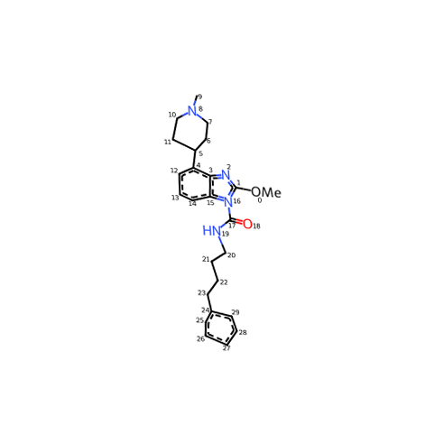 COc1nc2c(C3CCN(C)CC3)cccc2n1C(=O)NCCCCc1ccccc1